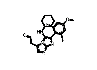 COc1cc(F)c(-c2nc3scc(CC=O)n3c2NC2CCCCC2)c(F)c1